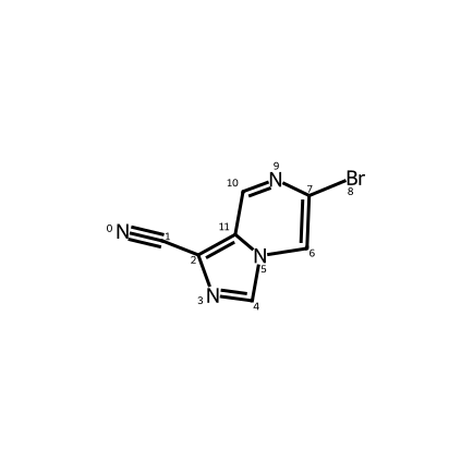 N#Cc1ncn2cc(Br)ncc12